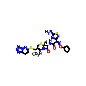 Nc1nc(/C(=N/OC2C=CCC2)C(=O)NC2C(=O)N3C(C(=O)O)=C(CSc4ccc5nnnn5n4)CS[C@H]23)ns1